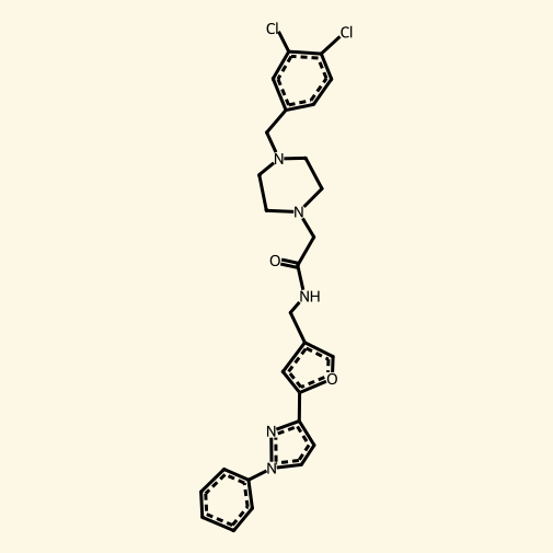 O=C(CN1CCN(Cc2ccc(Cl)c(Cl)c2)CC1)NCc1coc(-c2ccn(-c3ccccc3)n2)c1